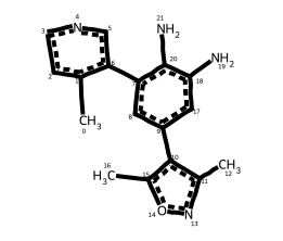 Cc1ccncc1-c1cc(-c2c(C)noc2C)cc(N)c1N